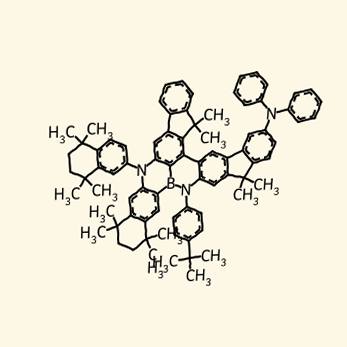 CC(C)(C)c1ccc(N2B3c4cc5c(cc4N(c4ccc6c(c4)C(C)(C)CCC6(C)C)c4cc6c(c(c43)-c3cc4c(cc32)C(C)(C)c2ccc(N(c3ccccc3)c3ccccc3)cc2-4)C(C)(C)c2ccccc2-6)C(C)(C)CCC5(C)C)cc1